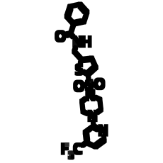 O=C(NCc1ccc(S(=O)(=O)N2CCN(c3cc(C(F)(F)F)ccn3)CC2)s1)c1ccccc1